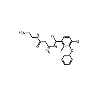 CCC(N[C@H](C)CC(=O)NCCN)c1ccc(Cl)c(Oc2ccccc2)c1F